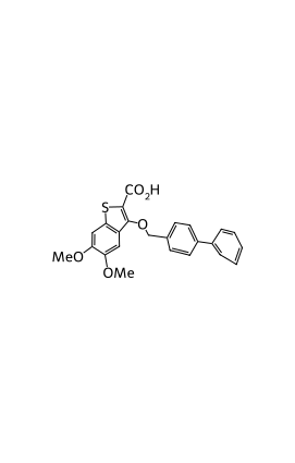 COc1cc2sc(C(=O)O)c(OCc3ccc(-c4ccccc4)cc3)c2cc1OC